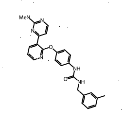 CNc1nccc(-c2cccnc2Oc2ccc(NC(=O)NCc3cccc(C)c3)cc2)n1